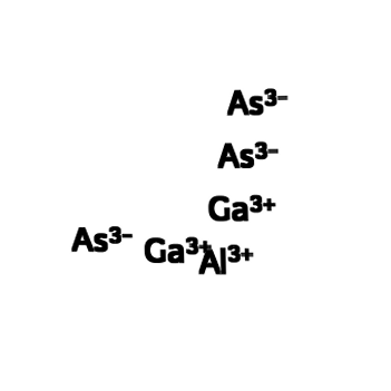 [Al+3].[As-3].[As-3].[As-3].[Ga+3].[Ga+3]